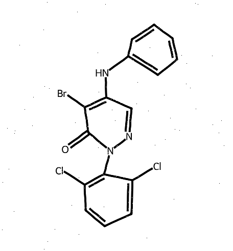 O=c1c(Br)c(Nc2ccccc2)cnn1-c1c(Cl)cccc1Cl